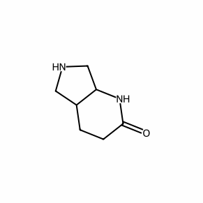 O=C1CCC2CNCC2N1